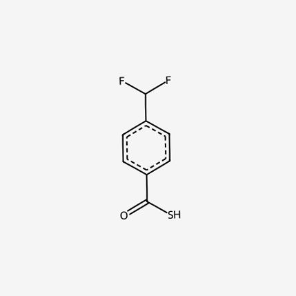 O=C(S)c1ccc(C(F)F)cc1